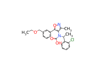 CCOCc1cccc(-c2onc(C)c2N(C(=O)O)C(C)c2ccccc2Cl)c1